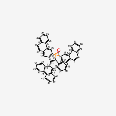 O=P(c1ccc2ccc3ccccc3c2c1)(c1ccc2ccc3ccccc3c2c1)c1cc2c3ccccc3c3ccccc3c2c2ccccc12